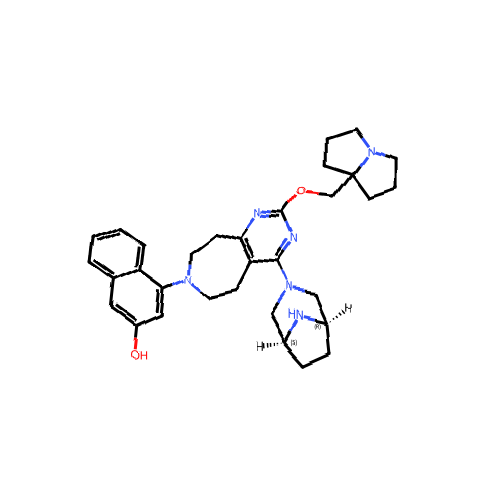 Oc1cc(N2CCc3nc(OCC45CCCN4CCC5)nc(N4C[C@H]5CC[C@@H](C4)N5)c3CC2)c2ccccc2c1